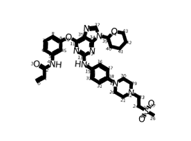 C=CC(=O)Nc1cccc(Oc2nc(Nc3ccc(N4CCN(CCS(C)(=O)=O)CC4)cc3)nc3c2ncn3C2CCCCO2)c1